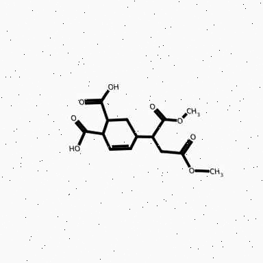 COC(=O)CC(C(=O)OC)C1C=CC(C(=O)O)C(C(=O)O)C1